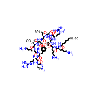 CCCCCCCCCCCCCCCC(=O)N[C@@H](CCCCN)C(=O)N[C@@H](CCCCN)C(=O)N[C@@H](CC(C)C)C(=O)N[C@@H](CCCNC(=N)N)C(=O)N[C@@H](CO)C(=O)N[C@@H](CCSC)C(=O)N[C@H](C(=O)N[C@@H](CC(=O)O)C(=O)N[C@@H](CCCCN)C(=O)N[C@@H](Cc1ccc(O)cc1)C(=O)N[C@@H](CCCNC(=N)N)C(=O)N[C@@H](CC(C)C)C(N)=O)[C@@H](C)O